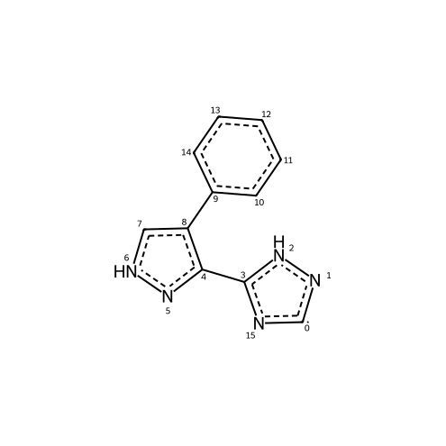 [c]1n[nH]c(-c2n[nH]cc2-c2ccccc2)n1